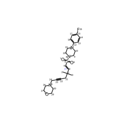 CC(C)(/C=C/S(=O)(=O)N1CCN(c2ccc(F)cc2)CC1)CC#CCN1CCOCC1